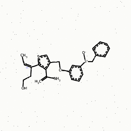 C=C(N)c1c(COc2cccc([S+]([O-])Cc3ccccc3)c2)csc1/C(=C\C)CCO